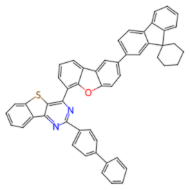 c1ccc(-c2ccc(-c3nc(-c4cccc5c4oc4ccc(-c6ccc7c(c6)C6(CCCCC6)c6ccccc6-7)cc45)c4sc5ccccc5c4n3)cc2)cc1